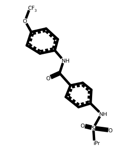 CC(C)S(=O)(=O)Nc1ccc(C(=O)Nc2ccc(OC(F)(F)F)cc2)cc1